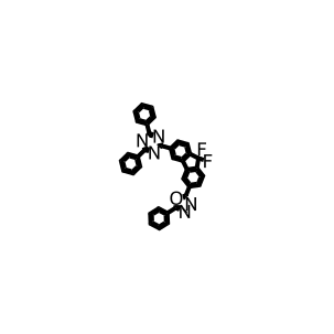 FC1(F)c2ccc(-c3nc(-c4ccccc4)nc(-c4ccccc4)n3)cc2-c2cc(-c3nnc(-c4ccccc4)o3)ccc21